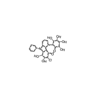 Oc1c(O)c(O)c2c(ooc3c(Cl)c(O)c(O)c4c3c3c2cccc3n4-c2ccccc2)c1O